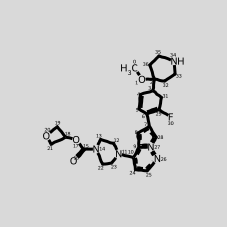 COC1(C2C=CC(c3cc4c(N5CCN(C(=O)OC6COC6)CC5)ccnn4c3)=C(F)C2)CCNCC1